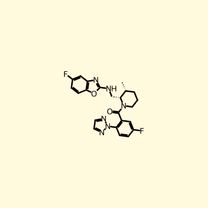 C[C@@H]1CCCN(C(=O)c2cc(F)ccc2-n2nccn2)[C@@H]1CNc1nc2cc(F)ccc2o1